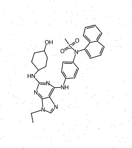 CCn1cnc2c(Nc3ccc(N(c4cccc5ccccc45)S(C)(=O)=O)cc3)nc(NC3CCC(O)CC3)nc21